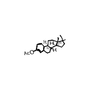 CC(=O)Oc1ccc2c(c1)CC[C@@H]1[C@@H]2CC[C@@]2(C)[C@H]1CCC2(C)C